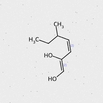 CCC(C)/C=C\C(O)=C\O